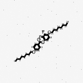 CCCCCCCCOc1ccc(C(=O)Oc2ccc(OCCCCCCCC)c(F)c2F)cc1